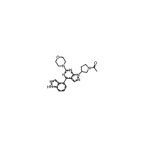 CC(=O)N1CCC(n2ncc3c(-c4cccc5[nH]ncc45)nc(N4CCOCC4)nc32)C1